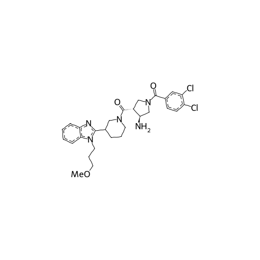 COCCCn1c(C2CCCN(C(=O)[C@@H]3CN(C(=O)c4ccc(Cl)c(Cl)c4)C[C@H]3N)C2)nc2ccccc21